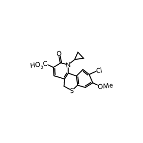 COc1cc2c(cc1Cl)-c1c(cc(C(=O)O)c(=O)n1C1CC1)CS2